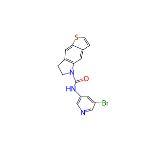 O=C(Nc1cncc(Br)c1)N1CCc2cc3sccc3cc21